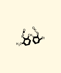 CCc1ccccc1N=C=O.Cc1cccc(C)c1N=C=O